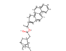 CC(OC(=O)CC1CC2CC1C(C)C2C)c1ccc2c(ccc3c4ccccc4ccc23)c1